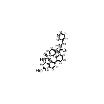 Cc1ccc(S(=O)(=O)N[C@H](CC(=O)O)c2cccc(-c3cccc(NC(=O)NCc4cccnc4)c3)c2)cc1